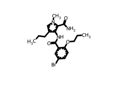 CCCOc1ccc(Br)cc1C(=O)Nc1c(CCC)cn(C)c1C(N)=O